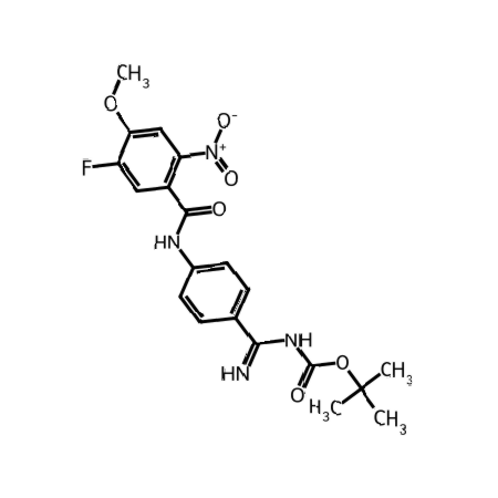 COc1cc([N+](=O)[O-])c(C(=O)Nc2ccc(C(=N)NC(=O)OC(C)(C)C)cc2)cc1F